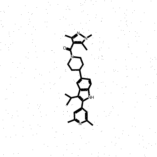 Cc1cc(-c2[nH]c3ccc(C4CCN(C(=O)c5c(C)nn(C)c5C)CC4)cc3c2C(C)C)cc(C)n1